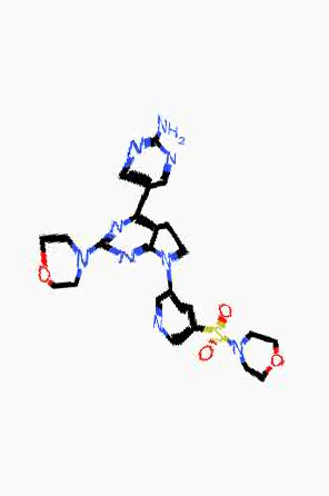 Nc1ncc(-c2nc(N3CCOCC3)nc3c2CCN3c2cncc(S(=O)(=O)N3CCOCC3)c2)cn1